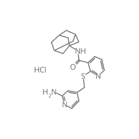 Cl.Nc1cc(CSc2ncccc2C(=O)NC23CC4CC(CC(C4)C2)C3)ccn1